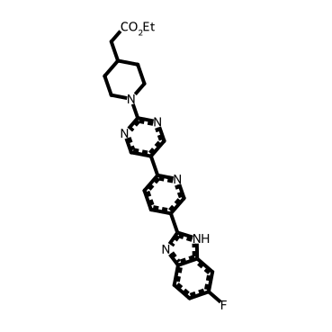 CCOC(=O)CC1CCN(c2ncc(-c3ccc(-c4nc5ccc(F)cc5[nH]4)cn3)cn2)CC1